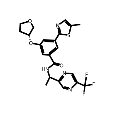 Cc1cnc(-c2cc(O[C@@H]3CCOC3)cc(C(=O)NC(C)c3cnc(C(F)(F)F)cn3)c2)s1